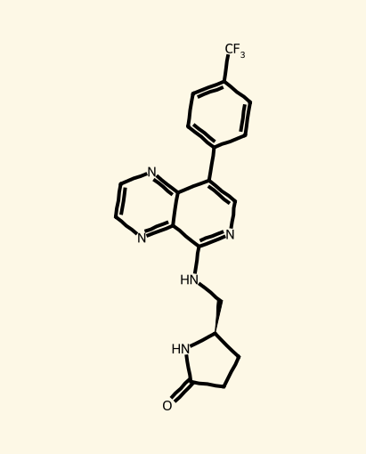 O=C1CC[C@H](CNc2ncc(-c3ccc(C(F)(F)F)cc3)c3nccnc23)N1